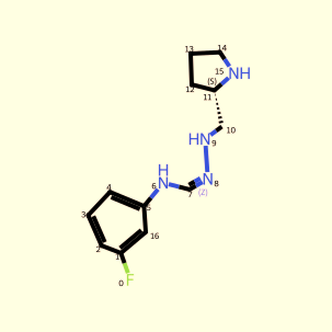 Fc1cccc(N/C=N\NC[C@@H]2CCCN2)c1